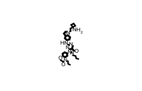 CCCCn1c(=O)c2cnc(Nc3ccc4c(ccn4CCC4(N)CCC4)c3)nc2n1-c1ccc2c(c1)N(CCC)C(=O)CO2